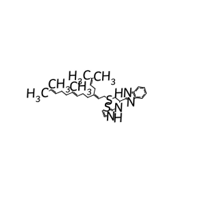 CC(C)=CCC/C(C)=C/CC/C(=C/CSCC(Nc1nccs1)c1nc2ccccc2[nH]1)CC=C(C)C